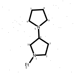 CCN1CCC(N2CCCC2)C1